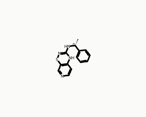 C[C@@H](NC1=NSc2cnccc2N1)c1ccccc1